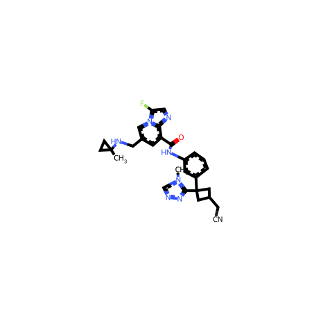 Cn1cnnc1C1(c2cccc(NC(=O)c3cc(CNC4(C)CC4)cn4c(F)cnc34)c2)CC(CC#N)C1